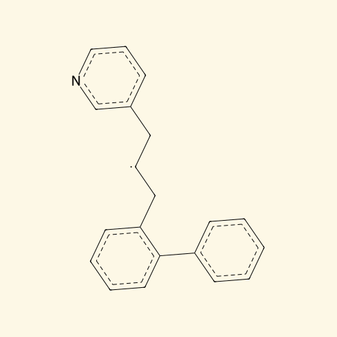 [CH](Cc1cccnc1)Cc1ccccc1-c1ccccc1